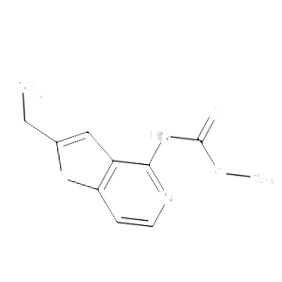 CC(C)(C)OC(=O)Nc1nccc2sc(CN)cc12